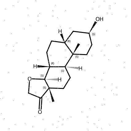 C[C@]12CC[C@H](O)C[C@H]1CC[C@@H]1[C@@H]2CC[C@]2(C)C(=O)CO[C@@H]12